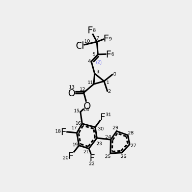 CC1(C)C(/C=C(\F)C(F)(F)Cl)C1C(=O)OCc1c(F)c(F)c(F)c(-c2ccccc2)c1F